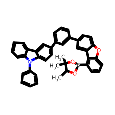 CC1OB(c2cccc3oc4ccc(-c5cccc(-c6ccc7c(c6)c6ccccc6n7-c6ccccc6)c5)cc4c23)OC1(C)C